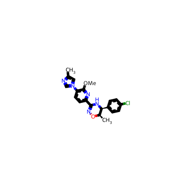 COc1nc(C2=NO[C@H](C)[C@H](c3ccc(Cl)cc3)N2)ccc1-n1cnc(C)c1